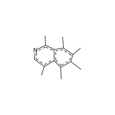 Cc1c(C)c(C)c2c(C)ncc(C)c2c1C